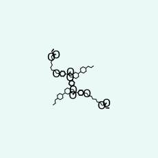 C=CC(=O)OCCCCCCOc1ccc(C(=O)OC2(c3ccc(C4(OC(=O)c5ccc(OCCCCCCOC(=O)C=C)cc5)CCC(C5CCC(CCC)CC5)CC4)cc3)CCC(C3CCC(CCC)CC3)CC2)cc1